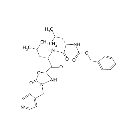 CC(C)C[C@H](NC(=O)OCc1ccccc1)C(=O)N[C@@H](CC(C)C)C(=O)C1NN(Cc2ccncc2)C(=O)O1